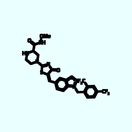 CONC(=O)C1CN(C2=NC(=O)C(=Cc3ccc4c(cnn4Cc4ccc(C(F)(F)F)cc4C(F)(F)F)c3)S2)CCN1